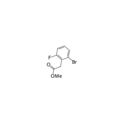 COC(=O)Cc1c(F)cccc1Br